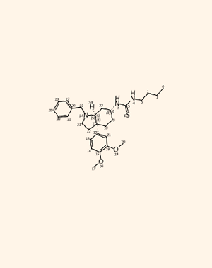 CCCCNC(=S)N[C@@H]1CC[C@@]2(c3ccc(OC)c(OC)c3)CCN(Cc3ccccc3)[C@H]2C1